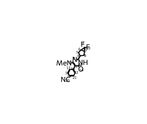 CNc1nc(C2CC3C(C2)C3(F)F)[nH]c(=O)c1-c1ccc(C#N)cc1